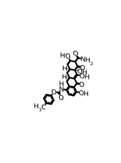 Cc1ccc(OC(=O)Nc2ccc(O)c3c2C[C@H]2C[C@H]4CC(O)C(C(N)=O)C(=O)[C@@]4(O)C(O)=C2C3=O)cc1